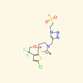 C[C@H]1C[C@@]2(CCN1Cc1cn(CCS(C)(=O)=O)nn1)OCC(F)(F)c1cc(Cl)sc12